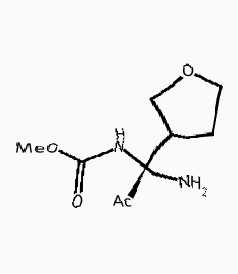 COC(=O)N[C@](N)(C(C)=O)C1CCOC1